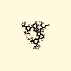 CCC[C](CCC)=[Hf]([CH3])([CH3])([CH]1C=Cc2c(-c3cc([Si](C)(C)C)cc([Si](C)(C)C)c3)cccc21)[CH]1C=Cc2c(-c3cc([Si](C)(C)C)cc([Si](C)(C)C)c3)cccc21